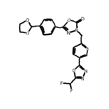 O=c1oc(-c2ccc(C3OCCO3)cc2)nn1Cc1ccc(-c2nnc(C(F)F)o2)cn1